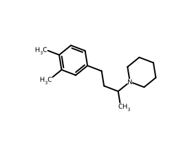 Cc1ccc(CCC(C)N2CCCCC2)cc1C